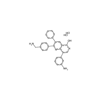 Cl.Cl.NCc1ccc(-c2nc3c(-c4cccc(N)c4)cnc(O)c3cc2-c2ccccc2)cc1